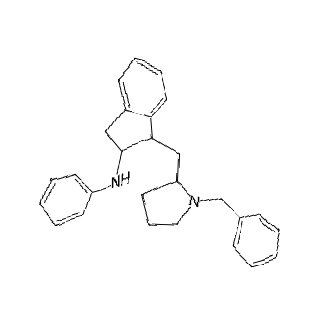 c1ccc(CN2CCCC2CC2c3ccccc3CC2Nc2ccccc2)cc1